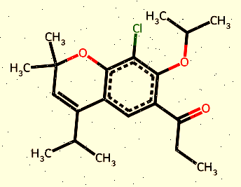 CCC(=O)c1cc2c(c(Cl)c1OC(C)C)OC(C)(C)C=C2C(C)C